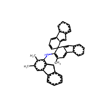 CC1=C(Nc2c(C)c(C)cc3c2Cc2ccccc2-3)C2(C=CC=C3C2=Cc2ccccc23)C2=Cc3ccccc3C2=C1